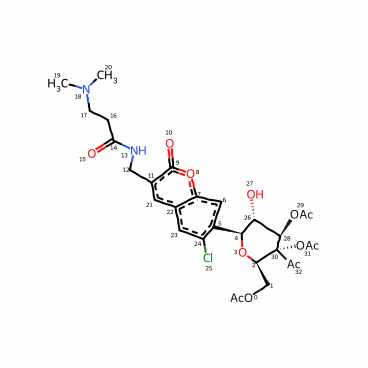 CC(=O)OC[C@H]1O[C@@H](c2cc3oc(=O)c(CNC(=O)CCN(C)C)cc3cc2Cl)[C@H](O)[C@@H](OC(C)=O)[C@@]1(OC(C)=O)C(C)=O